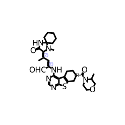 CC(/C=C(\C=O)Nc1ncnc2sc3c(c12)CC[C@H](C(=O)N1CCOCC1C)C3)=C1\C(=O)NC2(CCCCC2)N1C